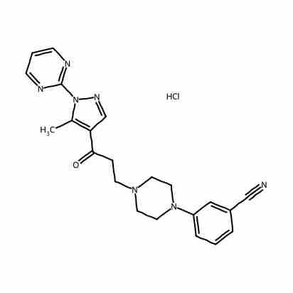 Cc1c(C(=O)CCN2CCN(c3cccc(C#N)c3)CC2)cnn1-c1ncccn1.Cl